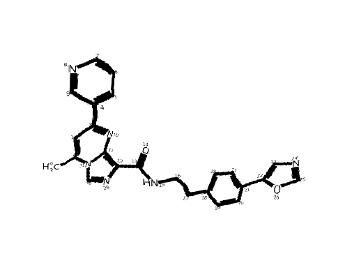 Cc1cc(-c2cccnc2)nc2c(C(=O)NCCc3ccc(-c4cnco4)cc3)ncn12